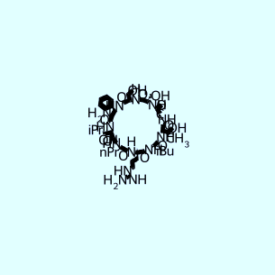 CCC[C@@H]1NC(=O)[C@H]([C@H](O)C(C)C)NC(=O)[C@@H](N)[C@@H](c2ccccc2)NC(=O)C(CO)NC(=O)[C@H](CO)NC(=O)CNC(=O)[C@H]([C@H](C)O)NC(=O)[C@H]([C@@H](C)CC)NC(=O)[C@@H](CCCNC(=N)N)NC1=O